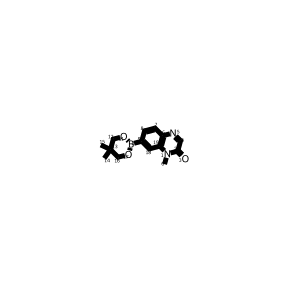 Cn1c(=O)cnc2ccc(B3OCC(C)(C)CO3)cc21